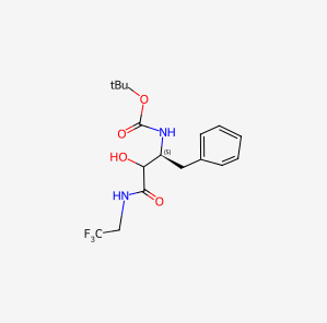 CC(C)(C)OC(=O)N[C@@H](Cc1ccccc1)C(O)C(=O)NCC(F)(F)F